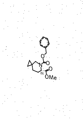 COC(=O)[C@@H]1CCC2(CC2)CN1C(=O)OCc1ccccc1